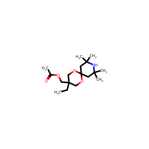 CCC1(COC(C)=O)COC2(CC(C)(C)NC(C)(C)C2)OC1